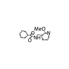 COc1ncccc1CNS(=O)(=O)c1ccccc1